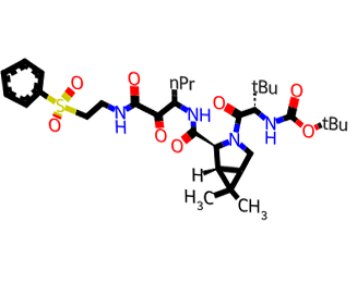 CCCC(NC(=O)[C@@H]1[C@@H]2C(CN1C(=O)[C@@H](NC(=O)OC(C)(C)C)C(C)(C)C)C2(C)C)C(=O)C(=O)NCCS(=O)(=O)c1ccccc1